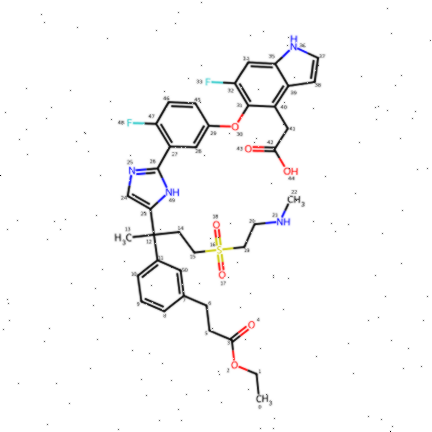 CCOC(=O)CCc1cccc(C(C)(CCS(=O)(=O)CCNC)c2cnc(-c3cc(Oc4c(F)cc5[nH]ccc5c4CC(=O)O)ccc3F)[nH]2)c1